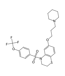 O=S(=O)(c1ccc(OC(F)(F)F)cc1)N1CCSc2ccc(OCCCN3CCCCC3)cc21